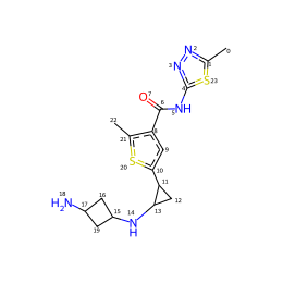 Cc1nnc(NC(=O)c2cc(C3CC3NC3CC(N)C3)sc2C)s1